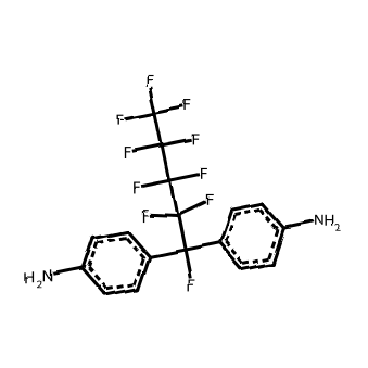 Nc1ccc(C(F)(c2ccc(N)cc2)C(F)(F)C(F)(F)C(F)(F)C(F)(F)F)cc1